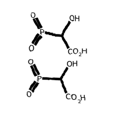 O=C(O)C(O)P(=O)=O.O=C(O)C(O)P(=O)=O